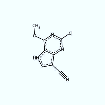 COc1nc(Cl)nc2c(C#N)c[nH]c12